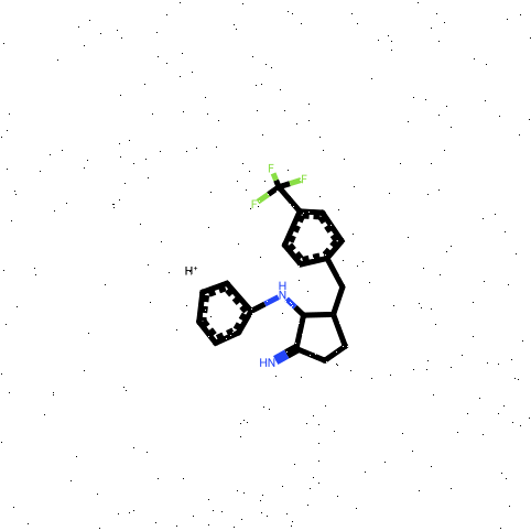 N=C1CCC(Cc2ccc(C(F)(F)F)cc2)C1Nc1ccccc1.[H+]